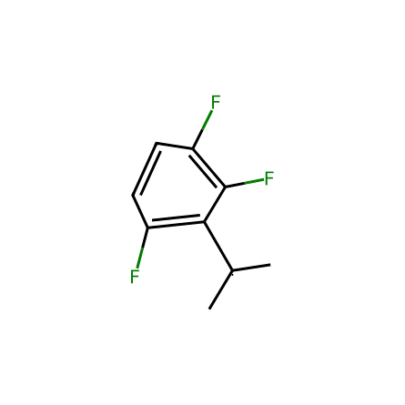 C[C](C)c1c(F)ccc(F)c1F